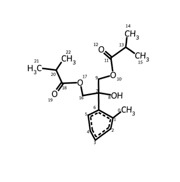 Cc1ccccc1C(O)(COC(=O)C(C)C)COC(=O)C(C)C